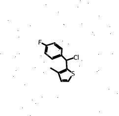 Cc1ccsc1C(Cl)c1ccc(F)cc1